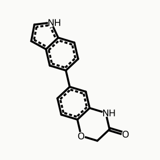 O=C1COc2ccc(-c3ccc4[nH]ccc4c3)cc2N1